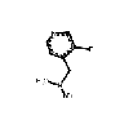 CCCN(C)Cc1ccncc1F